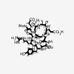 CCC(C)[C@H](NC(=O)CN1C/C=C\CCC(=O)N[C@@H](C)C(=O)N[C@@H](CCC(=O)O)C1=O)C(=O)N[C@@H](Cc1ccc(O)cc1)C(=O)N[C@@H](CCCNC(=N)N)C(=O)N[C@@H](CC(C)C)C(=O)N[C@@H](CCC(=O)O)C(=O)NC